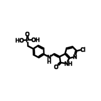 O=C1Nc2nc(Cl)ccc2/C1=C/Nc1ccc(CP(=O)(O)O)cc1